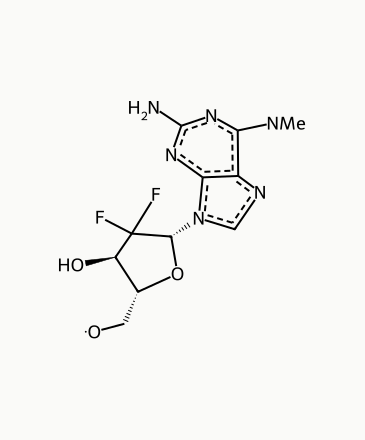 CNc1nc(N)nc2c1ncn2[C@@H]1O[C@H](C[O])[C@@H](O)C1(F)F